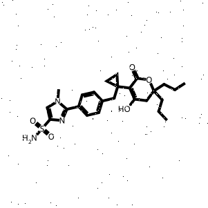 CCCC1(CCC)CC(O)=C(C2(Cc3ccc(-c4nc(S(N)(=O)=O)cn4C)cc3)CC2)C(=O)O1